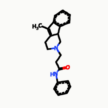 CC1=C2CCN(CCC(=O)Nc3ccccc3)CC2c2ccccc21